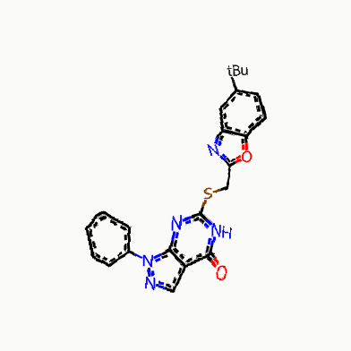 CC(C)(C)c1ccc2oc(CSc3nc4c(cnn4-c4ccccc4)c(=O)[nH]3)nc2c1